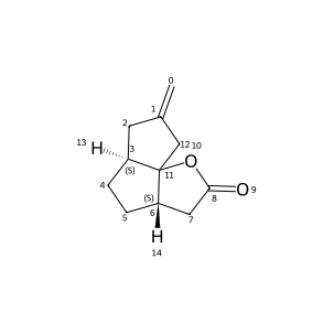 C=C1C[C@@H]2CC[C@H]3CC(=O)OC23C1